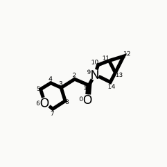 O=C(CC1CCOCC1)N1CC2CC2C1